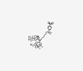 CC(C)(C)OC(=O)N(CCCCCC[S+]([O-])c1ccc([N+](=O)[O-])cc1)C(=O)OC(C)(C)C